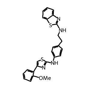 COc1ccccc1-c1csc(Nc2ccc(CCNc3nc4ccccc4s3)cc2)n1